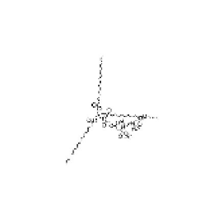 CCCCCCCCCCCCCCCC(=O)OCC(COC(=O)CCCCCCCCCCCCCCC)(COC(=O)CCCCCCCCCCCCCCC)COC(=O)COC(=O)CC(NCCNCC(O)OC(C)(C)C)C(=O)OC(C)(C)C